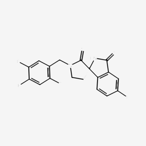 O=C1N[C@@]2(CCN(Cc3cc(F)c(F)cc3F)C2=O)c2ccc(F)cc21